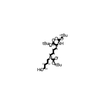 CC(C)(C)OC(=O)N[C@@H](CCCCN(CCCCO)C(=O)OC(C)(C)C)C(=O)OC(C)(C)C